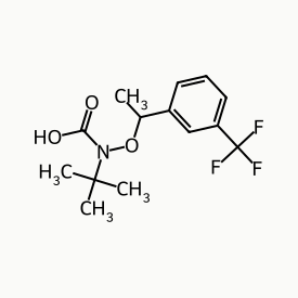 CC(ON(C(=O)O)C(C)(C)C)c1cccc(C(F)(F)F)c1